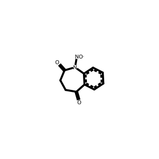 O=[N+]N1C(=O)CCC(=O)c2ccccc21